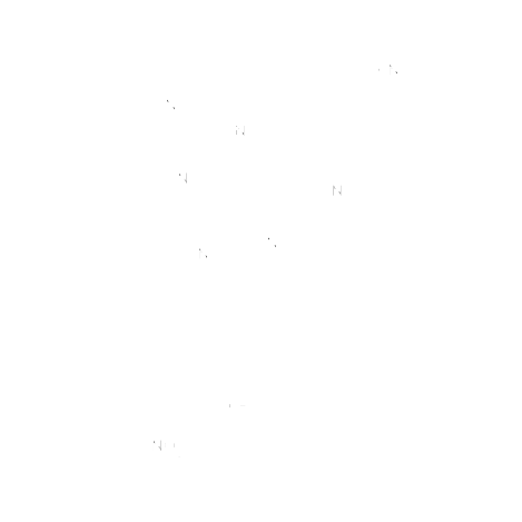 N#Cc1ccnc(-c2nc(N)nc3c2ncn3Cc2ccc([N+](=O)[O-])c(C(F)(F)F)c2)c1